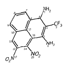 NC1=C(C(F)(F)F)C(N)c2cccc3cc([N+](=O)[O-])c([N+](=O)[O-])c1c23